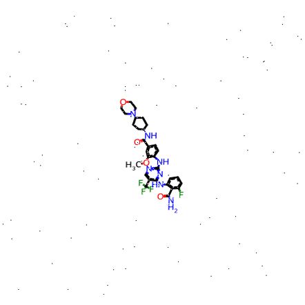 COc1cc(C(=O)N[C@H]2CC[C@H](N3CCOCC3)CC2)ccc1Nc1ncc(C(F)(F)F)c(Nc2cccc(F)c2C(N)=O)n1